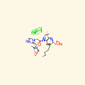 CCCCc1cc2c(nc1CO)C(C)(C)CN2C(=O)CN1C[C@@H](C)NC[C@@H]1CN1[C@H](C)COC[C@H]1C.Cl.Cl